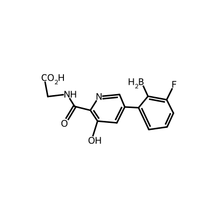 Bc1c(F)cccc1-c1cnc(C(=O)NCC(=O)O)c(O)c1